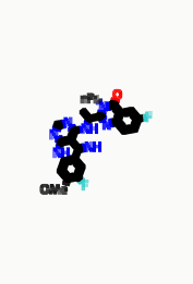 CCCn1c(C(C)Nc2ncnc(N)c2C(=N)c2ccc(OC)c(F)c2)nc2ccc(F)cc2c1=O